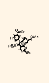 COCCCNc1nc(C(C)(C)C)ncc1C(=O)N(CC(C)C)[C@@H]1CNC[C@H](C(=O)C(C)C)C1.Cl.Cl